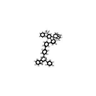 C[Si]1(C)c2ccccc2-c2cc3c(cc21)C1(c2cccc(-c4cccc(-c5ccc(-c6nc(-c7ccccc7)c7sc8ccccc8c7n6)cc5)c4)c2-3)C2CC3CC(C2)CC1C3